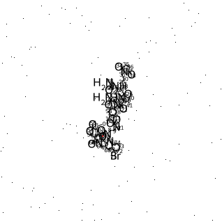 CC[C@@]1(OC(=O)N(C)CCN(C)C(=O)OCc2ccc(N(C(=O)[C@@H](NC(=O)CCCCCN3C(=O)C=CC3=O)C(C)C)[C@@H](CCCNC(N)=O)C(N)=O)cc2)C(=O)OCc2c1cc1n(c2=O)Cc2cc3c(Br)cccc3nc2-1